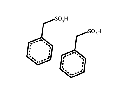 O=S(=O)(O)Cc1ccccc1.O=S(=O)(O)Cc1ccccc1